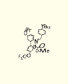 COC(=O)C(=O)N(Cc1ccc(C(C)(C)C)cc1)c1ccc(OC(C)C)cc1-c1ccc(OC(F)(F)F)cc1